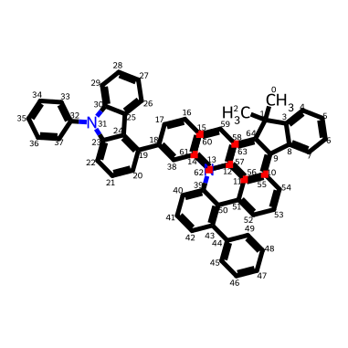 CC1(C)c2ccccc2-c2ccc(N(c3cccc(-c4cccc5c4c4ccccc4n5-c4ccccc4)c3)c3cccc(-c4ccccc4)c3-c3ccccc3-c3ccccc3)cc21